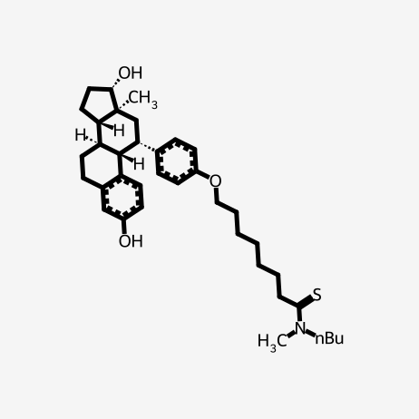 CCCCN(C)C(=S)CCCCCCCOc1ccc([C@H]2C[C@]3(C)[C@@H](O)CC[C@H]3[C@@H]3CCc4cc(O)ccc4[C@H]32)cc1